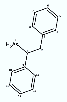 [AsH2]C(Cc1ccccc1)c1ccccc1